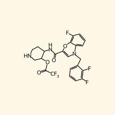 O=C(NC1CCNCC1OC(=O)C(F)(F)F)C1=CN(Cc2cccc(F)c2F)c2cccc(F)c2O1